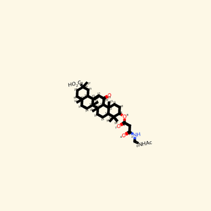 CC(=O)NCNC(=O)CC(=O)OC1CCC2(C)C(CCC3(C)C2C(=O)C=C2C4CC(C)(C(=O)O)CCC4(C)CCC23C)C1(C)C